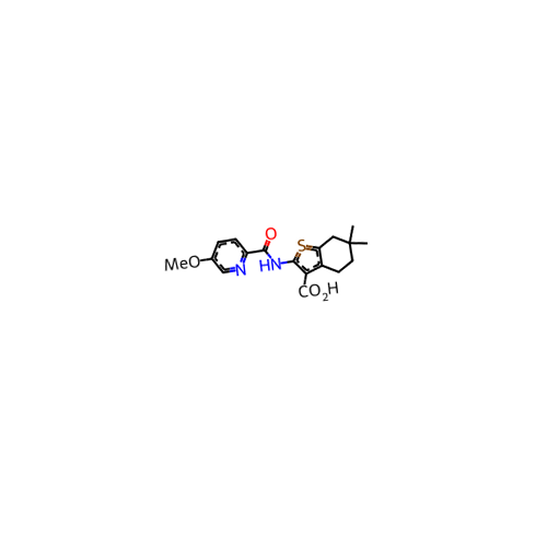 COc1ccc(C(=O)Nc2sc3c(c2C(=O)O)CCC(C)(C)C3)nc1